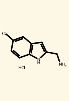 Cl.NCc1cc2cc(Cl)ccc2[nH]1